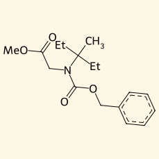 CCC(C)(CC)N(CC(=O)OC)C(=O)OCc1ccccc1